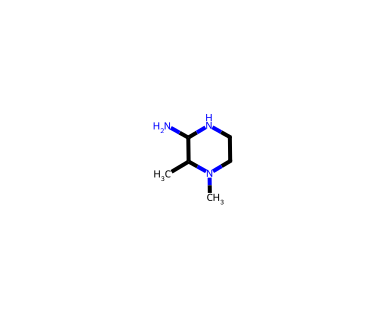 CC1C(N)NCCN1C